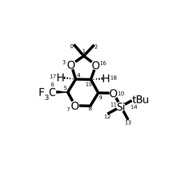 CC1(C)O[C@@H]2[C@H](C(F)(F)F)OCC(O[Si](C)(C)C(C)(C)C)[C@@H]2O1